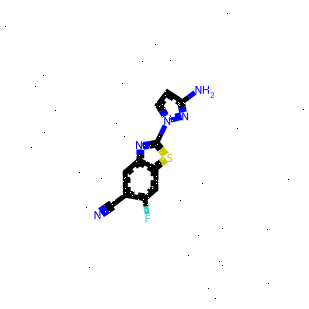 N#Cc1cc2nc(-n3ccc(N)n3)sc2cc1F